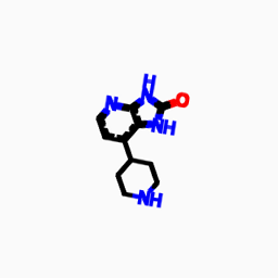 O=c1[nH]c2nccc(C3CCNCC3)c2[nH]1